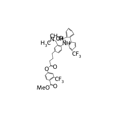 COC(=O)c1ccc(OC(=O)CCCc2ccc(NC(=O)c3ccccc3-c3ccc(C(F)(F)F)cc3)c(C(C)N(C)C)c2)cc1C(F)(F)F